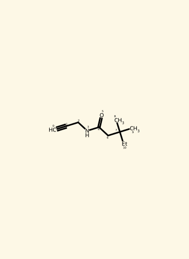 C#CCNC(=O)CC(C)(C)CC